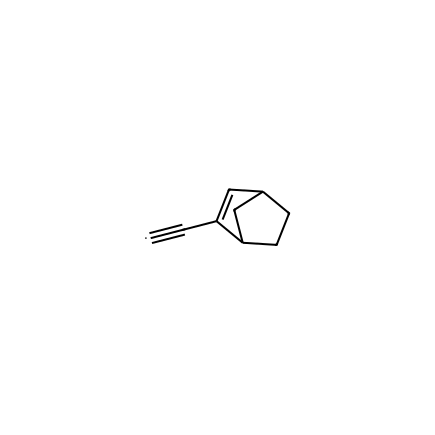 [C]#CC1=CC2CCC1C2